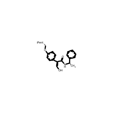 CCC[C@@H](C)COc1ccc(C(=CO)C(=O)N[C@@H](C)c2ccccc2)cc1